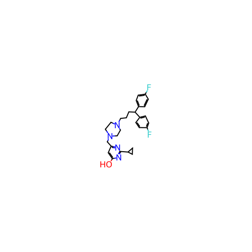 Oc1cc(CN2CCN(CCCC(c3ccc(F)cc3)c3ccc(F)cc3)CC2)nc(C2CC2)n1